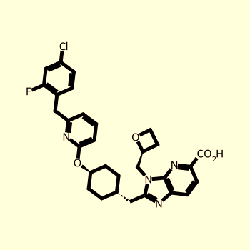 O=C(O)c1ccc2nc(C[C@H]3CC[C@H](Oc4cccc(Cc5ccc(Cl)cc5F)n4)CC3)n(C[C@@H]3CCO3)c2n1